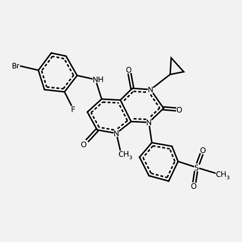 Cn1c(=O)cc(Nc2ccc(Br)cc2F)c2c(=O)n(C3CC3)c(=O)n(-c3cccc(S(C)(=O)=O)c3)c21